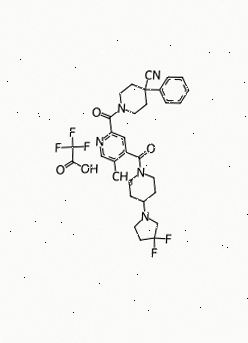 Cc1cnc(C(=O)N2CCC(C#N)(c3ccccc3)CC2)cc1C(=O)N1CCC(N2CCC(F)(F)C2)CC1.O=C(O)C(F)(F)F